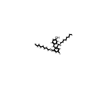 CCCCCCCCSCc1cc(C)cc(CSCCCCCCCC)c1Cc1ccc(O)cc1